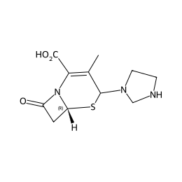 CC1=C(C(=O)O)N2C(=O)C[C@H]2SC1N1CCNC1